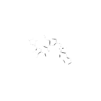 CCOc1ccc(NS(=O)(=O)c2ccc3cccnc3c2)cc1-c1nn2c(C3CCCC3)nc(C)c2c(=O)[nH]1